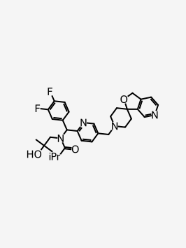 CC(C)C(=O)N(CC(C)(C)O)C(c1ccc(F)c(F)c1)c1ccc(CN2CCC3(CC2)OCc2ccncc23)cn1